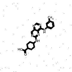 Cc1cccc(Nc2ncnc3cnc(NC4CCC(C(=O)O)CC4)nc23)c1